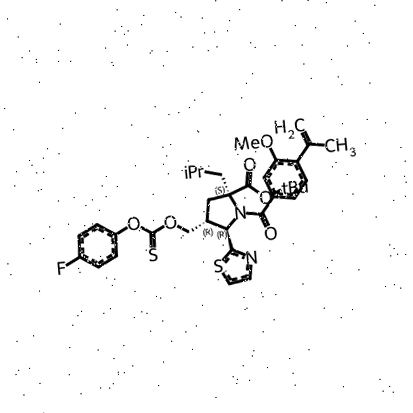 C=C(C)c1ccc(C(=O)N2[C@@H](c3nccs3)[C@H](COC(=S)Oc3ccc(F)cc3)C[C@@]2(CC(C)C)C(=O)OC(C)(C)C)cc1OC